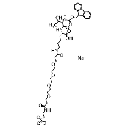 CC(C)[C@H](NC(=O)OCC1c2ccccc2-c2ccccc21)C(=O)N[C@@H](CCCCNC(=O)CCOCCOCCOCCOCCC(=O)NCCS(=O)(=O)[O-])C(=O)O.[Na+]